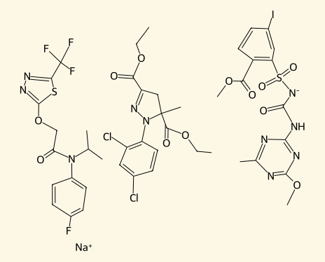 CC(C)N(C(=O)COc1nnc(C(F)(F)F)s1)c1ccc(F)cc1.CCOC(=O)C1=NN(c2ccc(Cl)cc2Cl)C(C)(C(=O)OCC)C1.COC(=O)c1ccc(I)cc1S(=O)(=O)[N-]C(=O)Nc1nc(C)nc(OC)n1.[Na+]